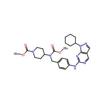 CC(C)(C)OC(=O)N1CCC(N(Cc2ccc(Nc3ncc4cnn(C5CCCCC5)c4n3)cc2)C(=O)OC(C)(C)C)CC1